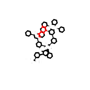 CC(C)(C)c1ccc2c(c1)c1ccccc1n2-c1ccc(-c2cc(-c3ccccc3)nc(-c3ccccc3)n2)cc1-c1nc(-c2ccccc2)nc(-c2cccc(-c3cc4c5c(c3)N(c3ccccc3)c3ccccc3B5c3ccccc3N4c3ccccc3)c2)n1